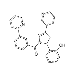 O=C(c1cccc(-c2ccccn2)c1)N1N=C(c2cccnc2)CC1c1ccccc1O